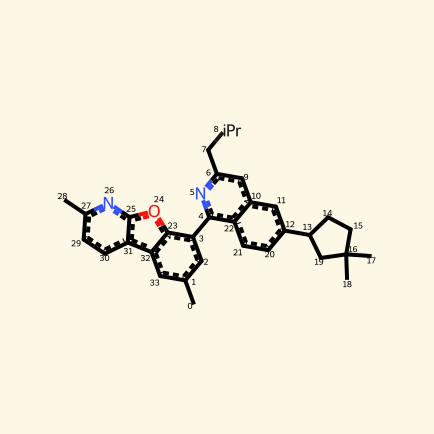 Cc1cc(-c2nc(CC(C)C)cc3cc(C4CCC(C)(C)C4)ccc23)c2oc3nc(C)ccc3c2c1